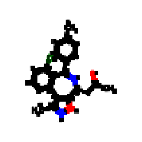 CC(=O)C[C@@H]1N=C(c2ccc(C)cc2)c2c(Cl)cccc2-c2c(C)noc21